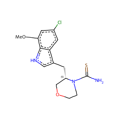 COc1cc(Cl)cc2c(C[C@H]3COCCN3C(N)=S)c[nH]c12